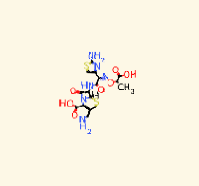 CC(O/N=C(\C(=O)NC1C(=O)N2C(C(=O)O)=C(CN)CS[C@@H]12)c1csc(N)n1)C(=O)O